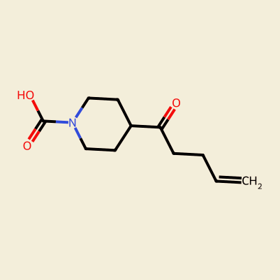 C=CCCC(=O)C1CCN(C(=O)O)CC1